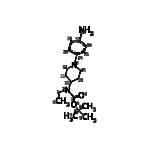 CCN(C(=O)OC(C)(C)C)C1CCN(c2ccc(N)cc2)CC1